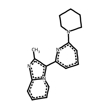 Cc1nc2ccccn2c1-c1cccc(N2CCCCC2)n1